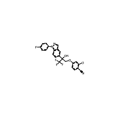 N#Cc1ccc(OCC(O)(c2ccc3c(cnn3-c3ccc(F)cc3)c2)C(F)(F)F)cc1Cl